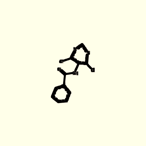 O=C(Nc1c(Cl)ncnc1Cl)c1ccccc1